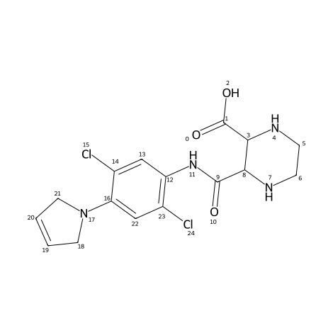 O=C(O)C1NCCNC1C(=O)Nc1cc(Cl)c(N2CC=CC2)cc1Cl